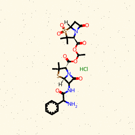 CC(OC(=O)[C@@H]1N2C(=O)C(NC(=O)C(N)c3ccccc3)[C@H]2SC1(C)C)OC(=O)[C@@H]1N2C(=O)C[C@H]2S(=O)(=O)C1(C)C.Cl